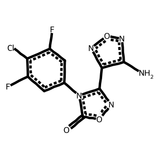 Nc1nonc1-c1noc(=O)n1-c1cc(F)c(Cl)c(F)c1